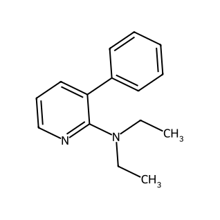 CCN(CC)c1ncccc1-c1ccccc1